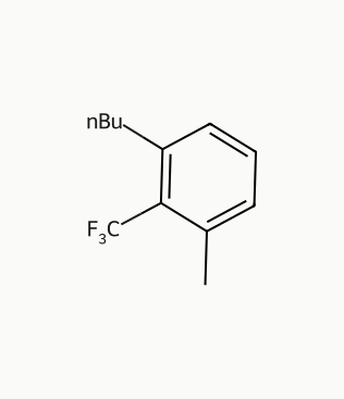 CCCCc1cccc(C)c1C(F)(F)F